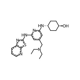 CCN(CC)Cc1cc(Nc2nc3cccnc3s2)nc(N[C@H]2CC[C@H](O)CC2)c1